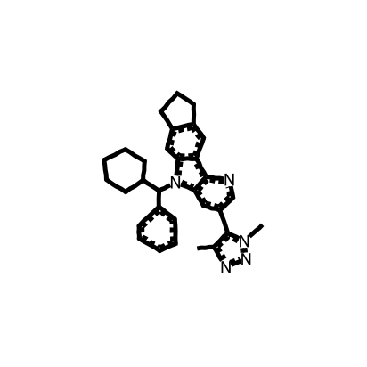 Cc1nnn(C)c1-c1cnc2c3cc4c(cc3n(C(c3ccccc3)C3CCCCC3)c2c1)CCC4